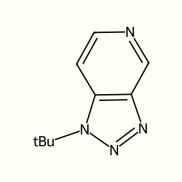 CC(C)(C)n1nnc2cnccc21